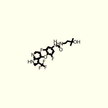 CC(C)(O)CCNC(=O)Nc1cc(F)c(Oc2ccnc3[nH]cc(C(F)(F)F)c23)c(F)c1